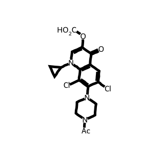 CC(=O)N1CCN(c2c(Cl)cc3c(=O)c(OC(=O)O)cn(C4CC4)c3c2Cl)CC1